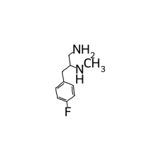 CNC(CN)Cc1ccc(F)cc1